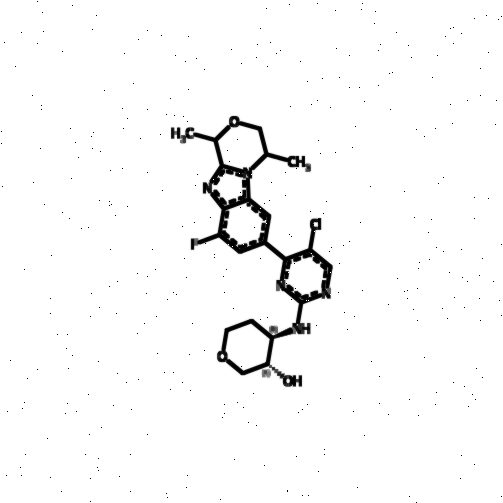 CC1OCC(C)n2c1nc1c(F)cc(-c3nc(N[C@@H]4CCOC[C@H]4O)ncc3Cl)cc12